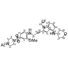 COc1cc(S(=O)(=O)N2CCN(C(C)=O)CC2)ccc1NCC#Cc1cc2c(NC3CCOCC3)cccc2n1CC(F)(F)F